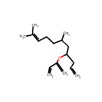 C=CCC(CC(C)CCC=C(C)C)OC(=C)C=C